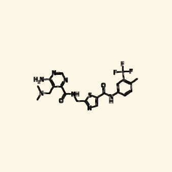 Cc1ccc(NC(=O)c2cnc(CNC(=O)c3ncnc(N)c3CN(C)C)s2)cc1C(F)(F)F